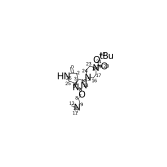 CC1Cc2c(nc(OCCN(C)C)nc2N2CCN(C(=O)OC(C)(C)C)CC2)CN1